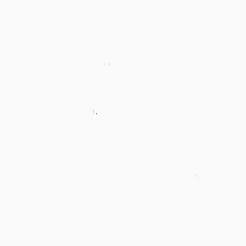 CCC(CC(C)C)OC(/C=C/Sc1ccc(F)cc1)=N\Sc1ccccc1